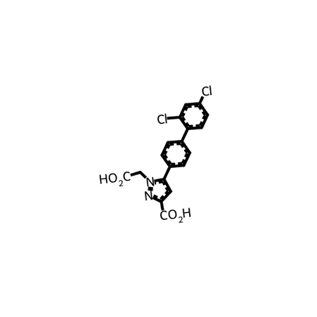 O=C(O)Cn1nc(C(=O)O)cc1-c1ccc(-c2ccc(Cl)cc2Cl)cc1